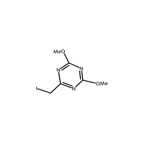 COc1nc(CI)nc(OC)n1